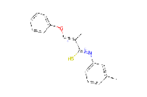 CC(=C\Oc1ccccc1)/C(S)=N/c1cccc(C)c1